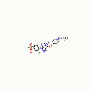 CS(=O)(=O)c1ccc(-n2ncc3c(OC4CCN(C(=O)O)CC4)ncnc32)c(F)c1